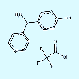 NC(c1ccncc1)c1ccc(Cl)cc1.O=C(O)C(F)(F)F